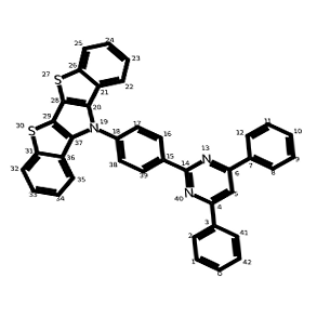 c1ccc(-c2cc(-c3ccccc3)nc(-c3ccc(-n4c5c6ccccc6sc5c5sc6ccccc6c54)cc3)n2)cc1